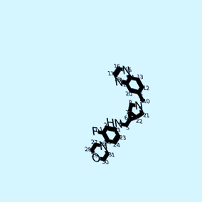 Fc1cc(NCC2C3CN(Cc4ccc5nccnc5c4)CC23)ccc1N1CCOCC1